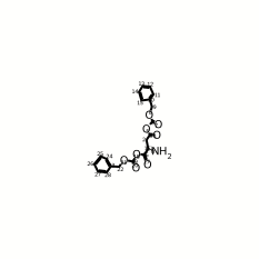 N[C@@H](CC(=O)OC(=O)OCc1ccccc1)C(=O)OC(=O)OCc1ccccc1